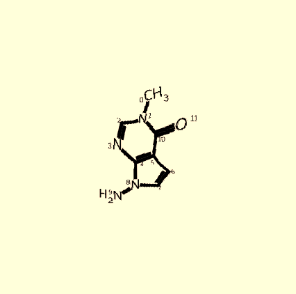 Cn1cnc2c(ccn2N)c1=O